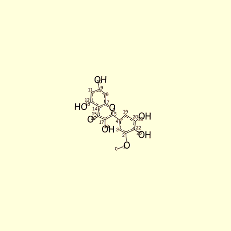 COc1cc(-c2oc3cc(O)cc(O)c3c(=O)c2O)cc(O)c1O